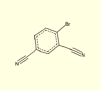 N#Cc1ccc(Br)c(C#N)c1